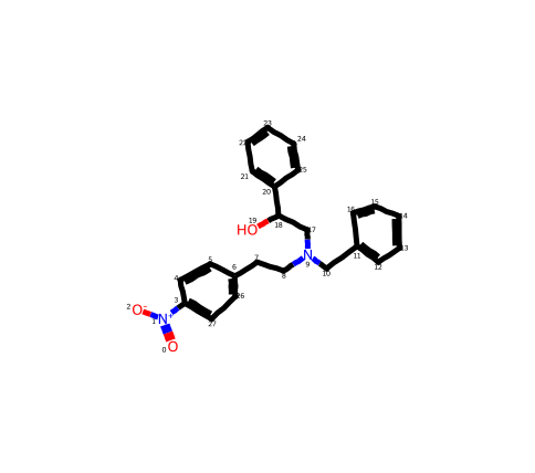 O=[N+]([O-])c1ccc(CCN(Cc2ccccc2)CC(O)c2ccccc2)cc1